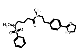 CN(CCc1ccc(C2=NCCN2)cc1)C(=O)CCCN(C)S(=O)(=O)c1ccccc1